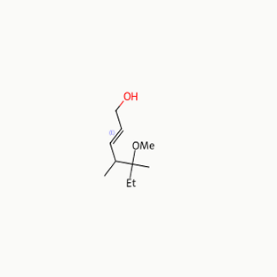 CCC(C)(OC)C(C)/C=C/CO